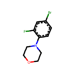 Fc1cc(Br)ccc1N1CCOCC1